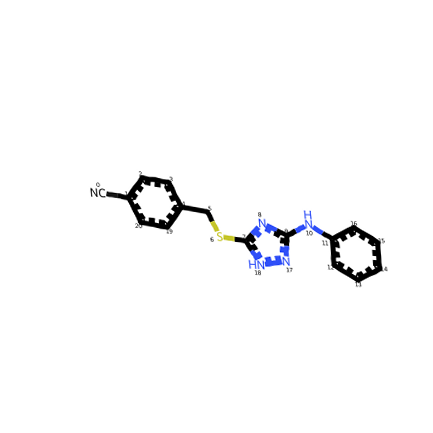 N#Cc1ccc(CSc2nc(Nc3ccccc3)n[nH]2)cc1